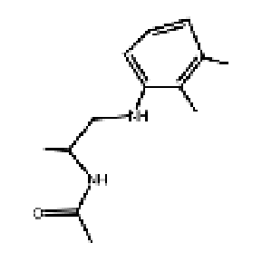 CC(=O)NC(C)CNc1c[c]cc(C)c1C